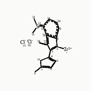 CC1=CC=C(C2=[C]([Zr+2])c3cccc(=[Si](C)C)c3=C2C)C1.[Cl-].[Cl-]